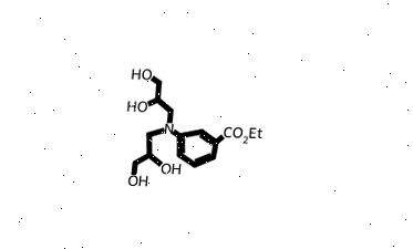 CCOC(=O)c1cccc(N(CC(O)CO)CC(O)CO)c1